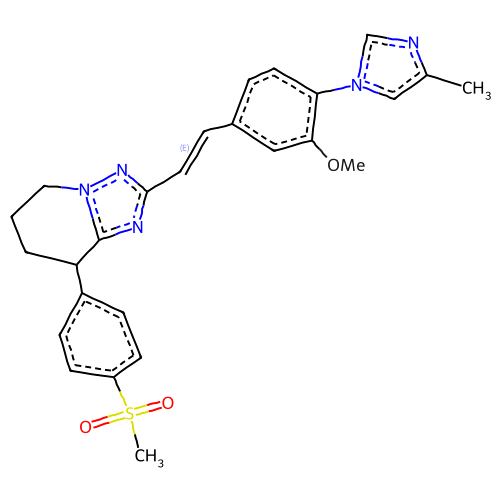 COc1cc(/C=C/c2nc3n(n2)CCCC3c2ccc(S(C)(=O)=O)cc2)ccc1-n1cnc(C)c1